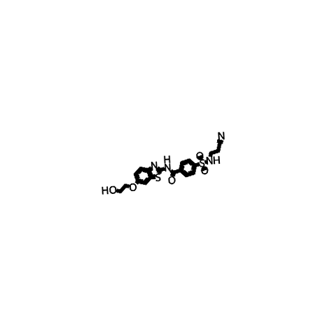 N#CCCNS(=O)(=O)c1ccc(C(=O)Nc2nc3ccc(OCCO)cc3s2)cc1